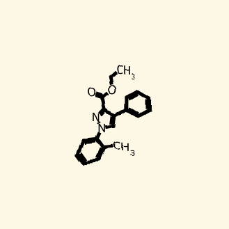 CCOC(=O)c1nn(-c2ccccc2C)cc1-c1ccccc1